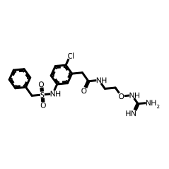 N=C(N)NOCCNC(=O)Cc1cc(NS(=O)(=O)Cc2ccccc2)ccc1Cl